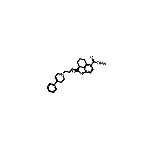 COC(=O)c1ccc2c3c1CCCC3(CCCCN1CC=C(c3ccccc3)CC1)C(=O)N2